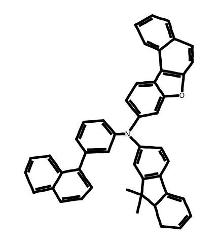 CC1(C)c2cc(N(c3cccc(-c4cccc5ccccc45)c3)c3ccc4c(c3)oc3ccc5ccccc5c34)ccc2C2=CC=CCC21